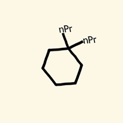 [CH2]CCC1(CCC)CCCCC1